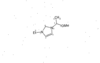 CCN1C=CN(C(C)OC)C1